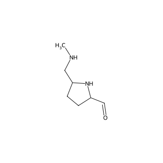 CNCC1CCC(C=O)N1